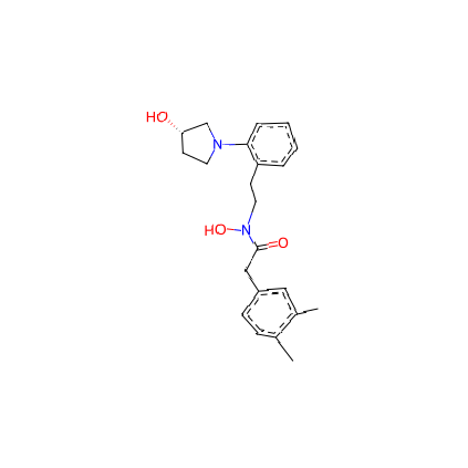 Cc1ccc(CC(=O)N(O)CCc2ccccc2N2CC[C@H](O)C2)cc1C